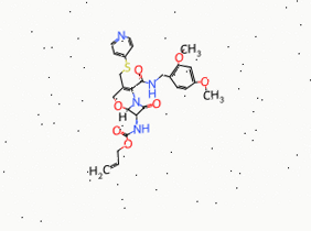 C=CCOC(=O)N[C@@H]1C(=O)N2C(C(=O)NCc3ccc(OC)cc3OC)=C(CSc3ccncc3)CO[C@H]12